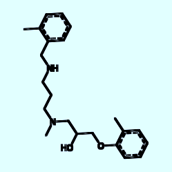 Cc1ccccc1CNCCCN(C)CC(O)COc1ccccc1C